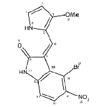 COc1cc[nH]c1C=C1C(=O)Nc2ccc([N+](=O)[O-])c(Br)c21